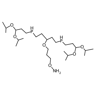 CC(C)OC(CCPCCC(CCPCCC(OC(C)C)OC(C)C)OCCCON)OC(C)C